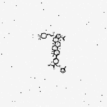 C=C(C)[C@@H]1CC[C@]2(NCCN3CCS(=O)(=O)CC3)CC[C@]3(C)[C@H](CC[C@@H]4[C@@]5(C)CC=C(C6=CCC(COc7nsnc7C)(C(=O)O)CC6)C(C)(C)[C@@H]5CC[C@]43C)[C@@H]12